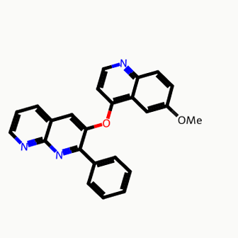 COc1ccc2nccc(Oc3cc4cccnc4nc3-c3ccccc3)c2c1